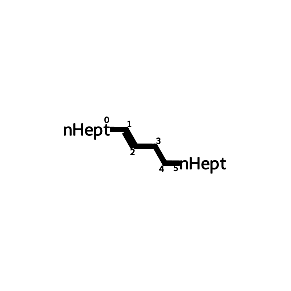 [CH2]CCCCCC/C=C/CCCCCCCCC